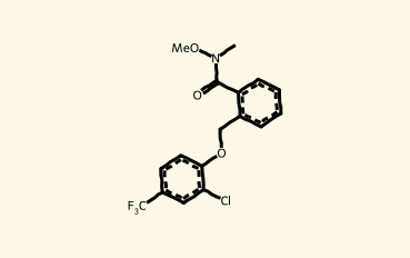 CON(C)C(=O)c1ccccc1COc1ccc(C(F)(F)F)cc1Cl